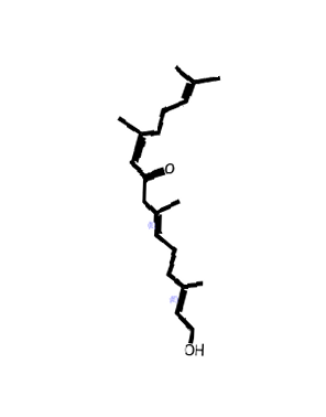 CC(C)=CCCC(C)=CC(=O)C/C(C)=C/CC/C(C)=C/CO